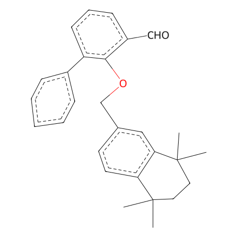 CC1(C)CCC(C)(C)c2cc(COc3c(C=O)cccc3-c3ccccc3)ccc21